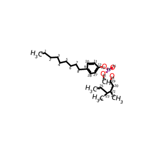 CCCCCCCCCc1ccc(OP(=O)(OC)OCCC(C)C(C)CC)cc1